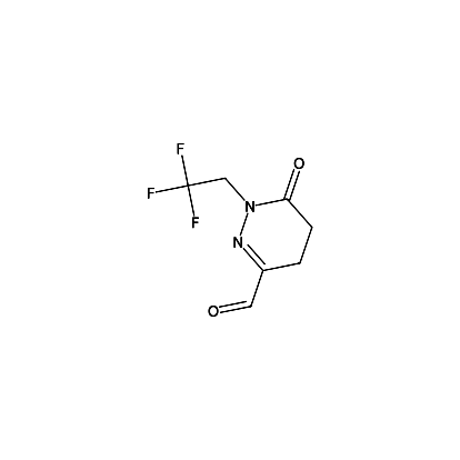 O=CC1=NN(CC(F)(F)F)C(=O)CC1